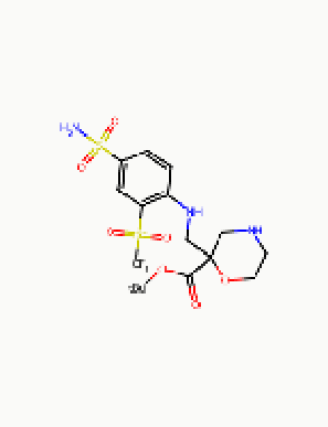 CC(C)(C)OC(=O)C1(CNc2ccc(S(N)(=O)=O)cc2S(=O)(=O)C(F)(F)F)CNCCO1